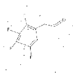 O=CCc1cc(F)c(F)c(F)c1F